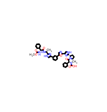 COC(=O)N[C@@H](C(=O)N[C@@H](C)c1nc(-c2cccc(-c3cnc(-c4c[nH]c([C@@H]5CCCN5C(=O)[C@@H](c5ccccc5)N(C)C(=O)O)n4)o3)c2)c[nH]1)c1ccccc1